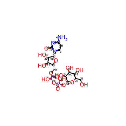 Nc1ccn([C@@H]2O[C@H](COP(=O)(O)OP(=O)(O)O[C@H]3OC(CO)[C@@H](O)[C@H](O)C3O)C(O)[C@@H]2O)c(=O)n1